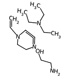 C=CN1C=C=NCC1.CCN(CC)CC.NCCO